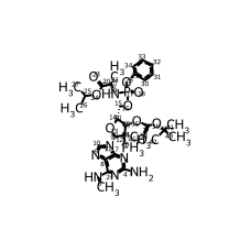 CNc1nc(N)nc2c1ncn2[C@@H]1O[C@H](COP(=O)(N[C@@H](C)C(=O)OC(C)C)Oc2ccccc2)[C@@H](OC(=O)OC(C)(C)C)[C@@]1(C)F